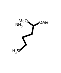 COC(CCC[SiH3])OC.N